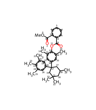 COC(=O)c1ccccc1C(=O)Oc1c(C)cc(C2(c3cc(C)c(C)c(C)c3)CC(C)CC(C)(C)C2)cc1C